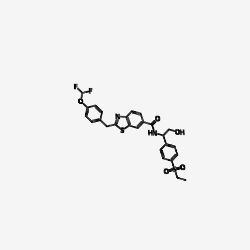 CCS(=O)(=O)c1ccc(C(CO)NC(=O)c2ccc3nc(Cc4ccc(OC(F)F)cc4)sc3c2)cc1